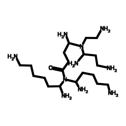 NCCCCCC(N)N(C(=O)CCC(N)N(CCN)C(N)CCN)C(N)CCCCN